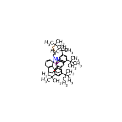 CC(C)(C)SCCNC1(P(c2cc(C(C)(C)C)cc(C(C)(C)C)c2)c2cc(C(C)(C)C)cc(C(C)(C)C)c2)C=CCC2=C1C1(CC2)CCc2ccccc21